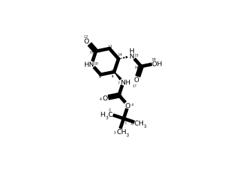 CC(C)(C)OC(=O)N[C@H]1CNC(=O)C[C@@H]1NC(=O)O